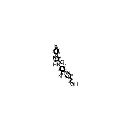 N#Cc1cc(NC(=O)c2cnn(-c3ccc(F)cc3)c2)ccc1N1CCN(CCO)CC1